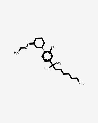 CCCCCCCC(C)(C)c1ccc([C@H]2CCC/C(=N/OCC)C2)c(O)c1